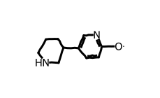 [O]c1ccc(C2CCCNC2)cn1